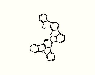 C1=c2c(n3c4ccccc4c4c5c6cccc7c8ccc9c%10ccccc%10oc9c8n(c5cc2c43)c76)=CCC1